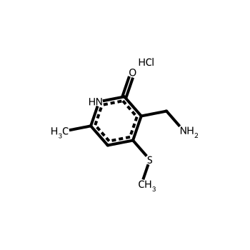 CSc1cc(C)[nH]c(=O)c1CN.Cl